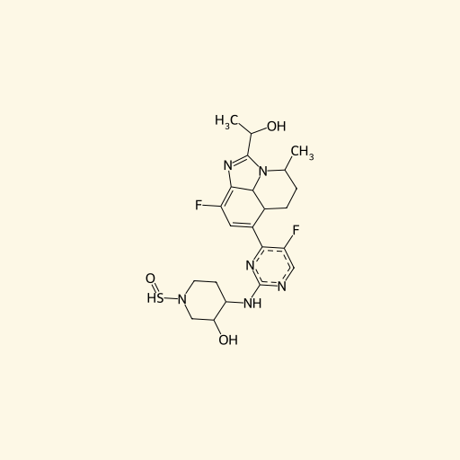 CC(O)C1=NC2=C(F)C=C(c3nc(NC4CCN([SH]=O)CC4O)ncc3F)C3CCC(C)N1C23